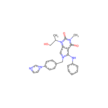 CC(CO)n1c(=O)n(C)c(=O)c2c(Nc3ccccc3)n(Cc3ccc(-n4ccnc4)cc3)cc21